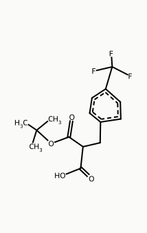 CC(C)(C)OC(=O)C(Cc1ccc(C(F)(F)F)cc1)C(=O)O